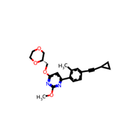 COc1nc(OC[C@H]2COCCO2)cc(-c2ccc(C#CC3CC3)cc2C)n1